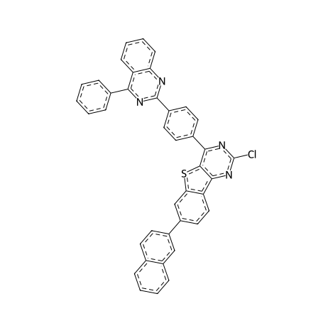 Clc1nc(-c2ccc(-c3nc(-c4ccccc4)c4ccccc4n3)cc2)c2sc3cc(-c4ccc5ccccc5c4)ccc3c2n1